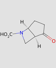 O=C1CC[C@H]2[C@@H]1CN2C(=O)O